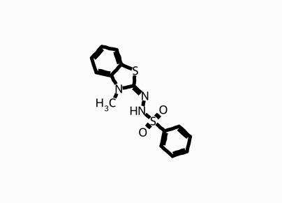 Cn1c(=NNS(=O)(=O)c2ccccc2)sc2ccccc21